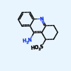 Nc1c2c(nc3ccccc13)CCCC2S(=O)(=O)O